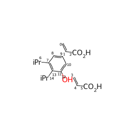 C=CC(=O)O.C=CC(=O)O.CC(C)c1cccc(O)c1C(C)C